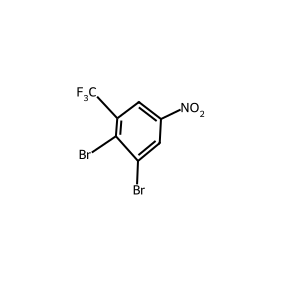 O=[N+]([O-])c1cc(Br)c(Br)c(C(F)(F)F)c1